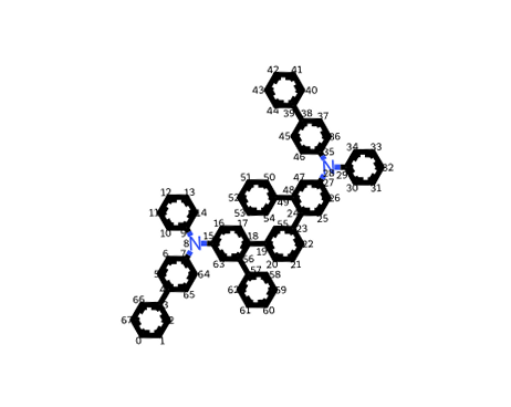 c1ccc(-c2ccc(N(c3ccccc3)c3ccc(-c4cccc(-c5ccc(N(c6ccccc6)c6ccc(-c7ccccc7)cc6)cc5-c5ccccc5)c4)c(-c4ccccc4)c3)cc2)cc1